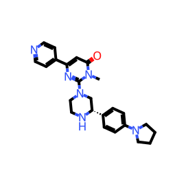 Cn1c(N2CCN[C@@H](c3ccc(N4CCCC4)cc3)C2)nc(-c2ccncc2)cc1=O